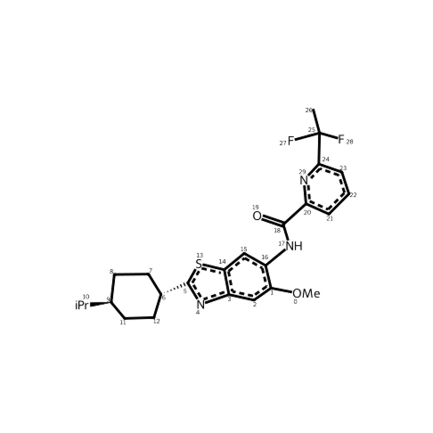 COc1cc2nc([C@H]3CC[C@H](C(C)C)CC3)sc2cc1NC(=O)c1cccc(C(C)(F)F)n1